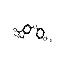 Cc1ccc(Oc2ccc3c(c2)CNC3=O)cc1